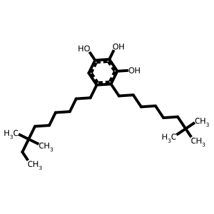 CCC(C)(C)CCCCCCc1cc(O)c(O)c(O)c1CCCCCCC(C)(C)C